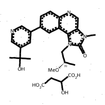 CO[C@@H](C)Cn1c(=O)n(C)c2cnc3ccc(-c4cncc(C(C)(C)O)c4)cc3c21.O=C(O)CC(O)C(=O)O